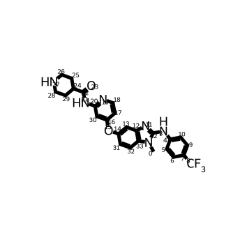 Cn1c(Nc2ccc(C(F)(F)F)cc2)nc2cc(Oc3ccnc(NC(=O)C4CCNCC4)c3)ccc21